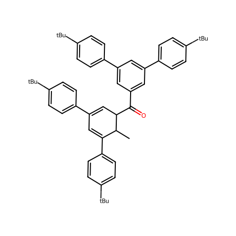 CC1C(c2ccc(C(C)(C)C)cc2)=CC(c2ccc(C(C)(C)C)cc2)=CC1C(=O)c1cc(-c2ccc(C(C)(C)C)cc2)cc(-c2ccc(C(C)(C)C)cc2)c1